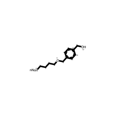 CCCCCCCCCCCCCOCc1ccc(CO)cc1